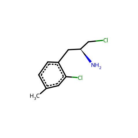 Cc1ccc(C[C@H](N)CCl)c(Cl)c1